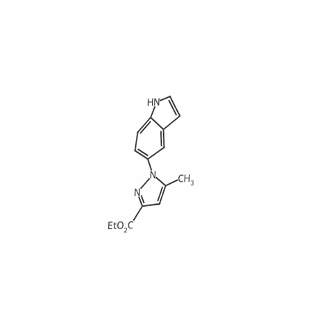 CCOC(=O)c1cc(C)n(-c2ccc3[nH]ccc3c2)n1